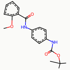 COc1ccccc1C(=O)Nc1ccc(NC(=O)OC(C)(C)C)cc1